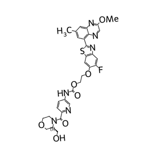 COc1cnc2c(-c3nc4cc(F)c(OCCOC(=O)Nc5ccc(C(=O)N6CCOC[C@@H]6CO)nc5)cc4s3)cc(C)cc2n1